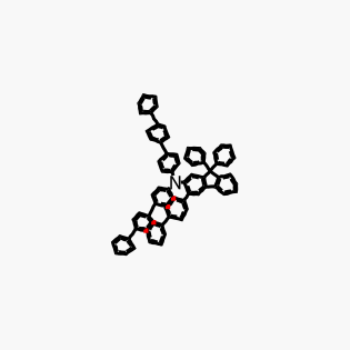 c1ccc(-c2ccc(-c3ccc(N(c4ccc(-c5ccc(-c6ccccc6)cc5)cc4)c4cc5c(cc4-c4ccc(-c6ccccc6)cc4)-c4ccccc4C5(c4ccccc4)c4ccccc4)cc3)cc2)cc1